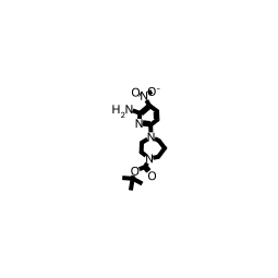 CC(C)(C)OC(=O)N1CCCN(c2ccc([N+](=O)[O-])c(N)n2)CC1